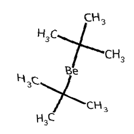 C[C](C)(C)[Be][C](C)(C)C